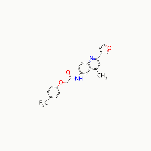 Cc1cc(-c2ccoc2)nc2ccc(NC(=O)COc3ccc(C(F)(F)F)cc3)cc12